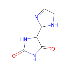 O=C1NC(=O)C([C]2N=CCN2)N1